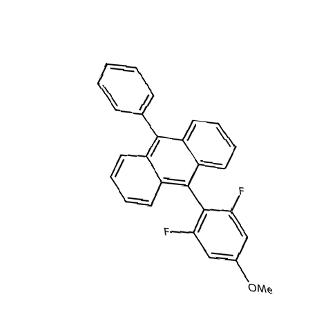 COc1cc(F)c(-c2c3ccccc3c(-c3ccccc3)c3ccccc23)c(F)c1